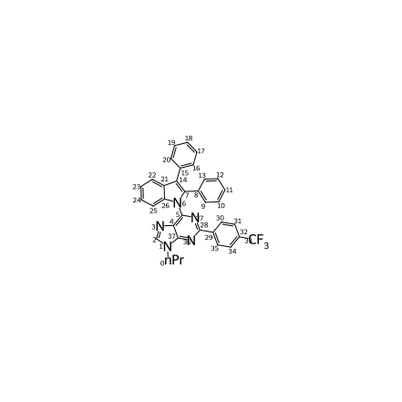 CCCn1cnc2c(-n3c(-c4ccccc4)c(-c4ccccc4)c4ccccc43)nc(-c3ccc(C(F)(F)F)cc3)nc21